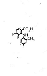 Cc1cc(I)ccc1Nc1c(C(=O)O)ccc(F)c1F